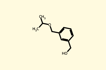 CC(C)OCc1cccc(CO)c1